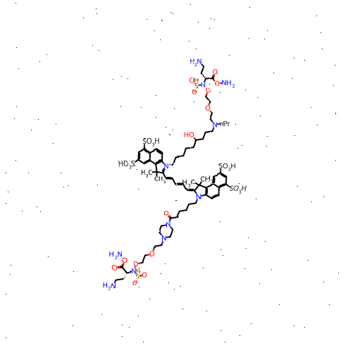 CCCN(CCCC(O)CCCCC[N+]1=C(/C=C/C=C/C=C2/N(CCCCCC(=O)N3CCN(CCOCCON([C@H](CCN)C(=O)ON)[SH](=O)=O)CC3)c3ccc4c(S(=O)(=O)O)cc(S(=O)(=O)O)cc4c3C2(C)C)C(C)(C)c2c1ccc1c(S(=O)(=O)O)cc(S(=O)(=O)O)cc21)CCOCCON([C@@H](CCN)C(=O)ON)[SH](=O)=O